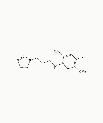 COc1cc(NCCCn2ccnc2)c([N+](=O)[O-])cc1Cl